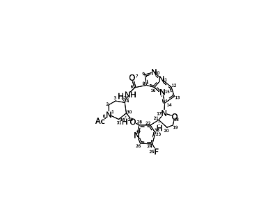 CC(=O)N1CC[C@H]2NC(=O)c3cnn4ccc(nc34)N3OCC[C@H]3c3cc(F)cnc3O[C@H]2C1